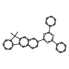 CC1(C)c2ccccc2-c2cc3ccc(-c4nc(-c5ccccc5)nc(-c5ccccc5)n4)cc3cc21